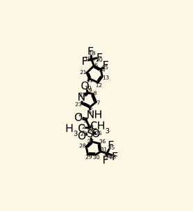 CC(C)(C(=O)Nc1ccc(Oc2ccc(F)c(C(F)(F)F)c2)nc1)S(=O)(=O)c1cccc(C(F)(F)F)c1